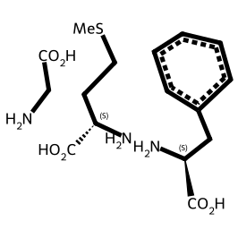 CSCC[C@H](N)C(=O)O.NCC(=O)O.N[C@@H](Cc1ccccc1)C(=O)O